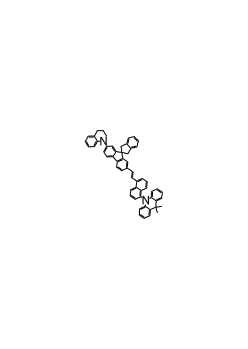 CC1(C)c2ccccc2N(c2cccc3c(/C=C/c4ccc5c(c4)C4(Cc6ccccc6C4)c4cc(N6CCCc7ccccc76)ccc4-5)cccc23)c2ccccc21